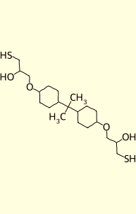 CC(C)(C1CCC(OCC(O)CS)CC1)C1CCC(OCC(O)CS)CC1